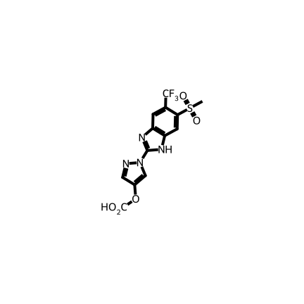 CS(=O)(=O)c1cc2[nH]c(-n3cc(OC(=O)O)cn3)nc2cc1C(F)(F)F